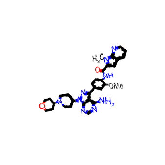 COc1cc(-c2nn(C3CCN(C4CCOCC4)CC3)c3ncnc(N)c23)ccc1NC(=O)c1cc2cccnc2n1C